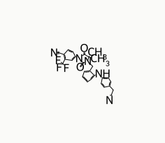 CC1(C)C(=O)N(c2ccc(C#N)c(C(F)(F)F)c2)C(=O)N1Cc1ccccc1Nc1ccc(CC#N)cc1